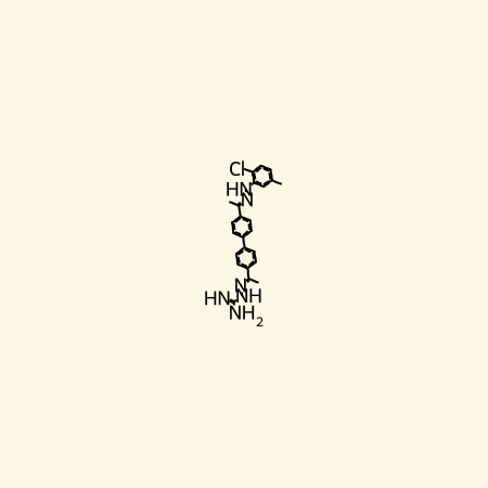 C/C(=N\NC(=N)N)c1ccc(-c2ccc(/C(C)=N/Nc3cc(C)ccc3Cl)cc2)cc1